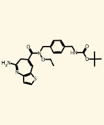 CCON(Cc1ccc(CNC(=O)OC(C)(C)C)cc1)C(=O)C1=Cc2sccc2N=C(N)C1